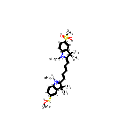 CCCCCCCN1C(=CC=CC=CC2=[N+](CCCCCCC)c3ccc(SOOC)cc3C2(C)C)C(C)(C)c2cc(S(C)(=O)=O)ccc21